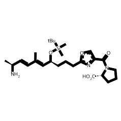 CC(/C=C/[C@H](C)N)=C\[C@H](CCCc1nc(C(=O)N2CCC[C@@H]2C(=O)O)co1)O[Si](C)(C)C(C)(C)C